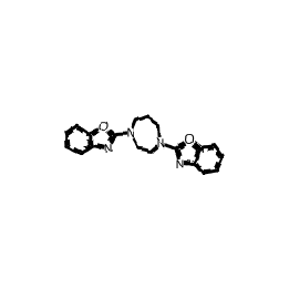 c1ccc2oc(N3CCCN(c4nc5ccccc5o4)CC3)nc2c1